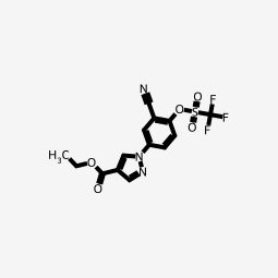 CCOC(=O)c1cnn(-c2ccc(OS(=O)(=O)C(F)(F)F)c(C#N)c2)c1